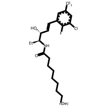 CCCCCCCCCCCCCCCCCC(=O)N[C@@H](CC)[C@H](O)/C=C/c1cc(C(F)(F)F)cc(Cl)c1F